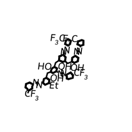 CCc1cc(N=Nc2cccc(C(F)(F)F)c2)cc(Cc2cc(N=Nc3cccc(C(F)(F)F)c3)cc(Cc3cc(N=Nc4cccc(C(F)(F)F)c4)cc(Cc4cc(N=Nc5cccc(C(F)(F)F)c5)ccc4O)c3O)c2O)c1O